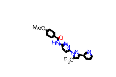 COc1ccc(C(=O)Nc2ccc(-n3nc(-c4cccnc4)cc3C(F)(F)F)nn2)cc1